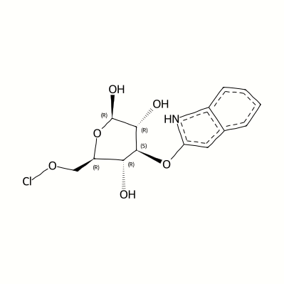 O[C@@H]1[C@@H](Oc2cc3ccccc3[nH]2)[C@H](O)[C@@H](COCl)O[C@H]1O